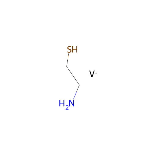 NCCS.[V]